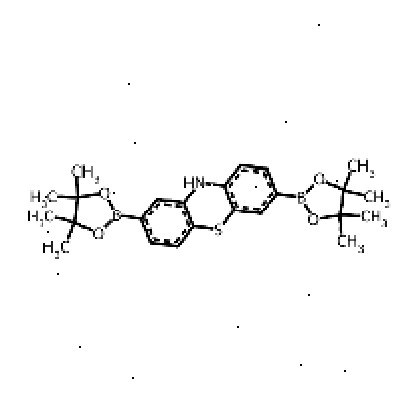 CC1(C)OB(c2ccc3c(c2)Nc2ccc(B4OC(C)(C)C(C)(C)O4)cc2S3)OC1(C)C